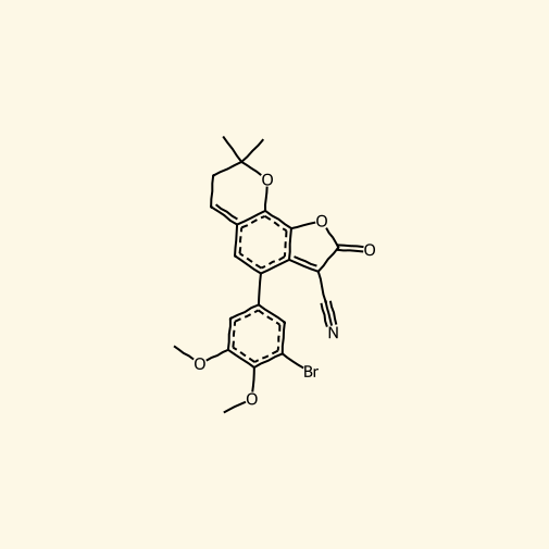 COc1cc(-c2cc3c(c4c2=C(C#N)C(=O)O4)OC(C)(C)CC=3)cc(Br)c1OC